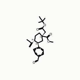 C=C(C)[C@@H]1CC[C@](CC(=O)OC(C)(C)C)(C(=O)OC)C[C@H]1c1ccc(C=O)cc1